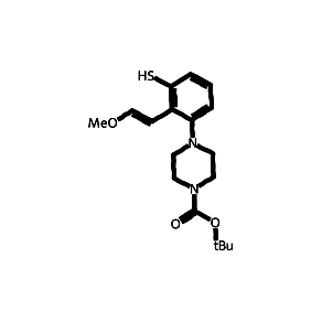 COC=Cc1c(S)cccc1N1CCN(C(=O)OC(C)(C)C)CC1